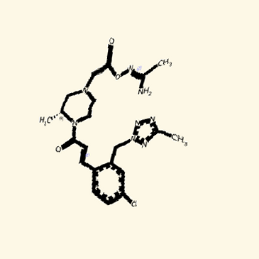 C/C(N)=N/OC(=O)CN1CCN(C(=O)/C=C/c2ccc(Cl)cc2Cn2nnc(C)n2)[C@H](C)C1